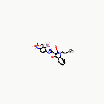 CCC(C)CCn1c(=O)c(C2=NP(=O)(OC)c3cc(NS(C)(=O)=O)ccc3N2)c(O)c2ccccc21